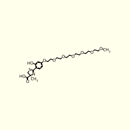 COCCOCCOCCOCCOCCOCCOc1ccc(C2=N[C@@](C)(C(=O)O)CS2)c(O)c1